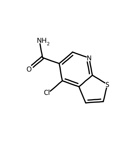 NC(=O)c1cnc2sccc2c1Cl